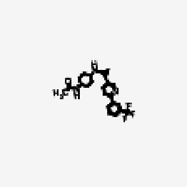 CC(=O)NC1CCC(NC2CC2c2ccc(-c3cccc(C(F)(F)F)c3)nc2)CC1